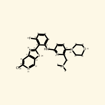 CN(C)Cc1nc(Nc2cccc(F)c2-c2nc3cc(Cl)ncc3s2)ccc1N1CCOCC1